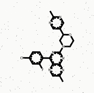 Cc1cnc2c(-c3ccc(Cl)cc3F)nc(N3CCOC(c4cnc(C)nc4)C3)nc2n1